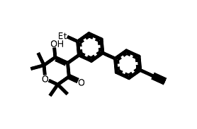 C#Cc1ccc(-c2ccc(CC)c(C3=C(O)C(C)(C)OC(C)(C)C3=O)c2)cc1